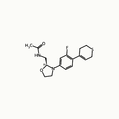 CC(=O)NC[C@@H]1OCCN1c1ccc(C2=CCSCC2)c(F)c1